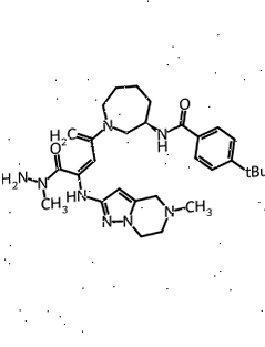 C=C(/C=C(/Nc1cc2n(n1)CCN(C)C2)C(=O)N(C)N)N1CCCC[C@@H](NC(=O)c2ccc(C(C)(C)C)cc2)C1